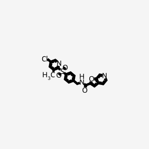 Cc1cc(Cl)cnc1S(=O)(=O)c1ccc(CNC(=O)c2cc3ccncc3o2)cc1